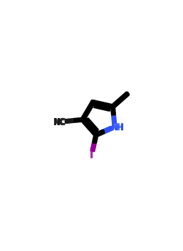 Cc1cc(C#N)c(I)[nH]1